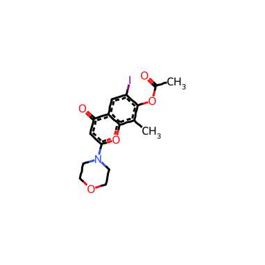 CC(=O)Oc1c(I)cc2c(=O)cc(N3CCOCC3)oc2c1C